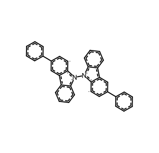 [c]1cc(-c2ccccc2)cc2c3ccccc3n(-n3c4[c]cc(-c5ccccc5)cc4c4ccccc43)c12